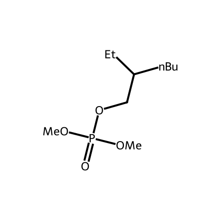 CCCCC(CC)COP(=O)(OC)OC